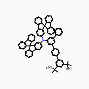 CCCC(C)(C)c1cc(-c2ccc(-c3cc(-c4ccccc4)cc(N(c4ccc5c(c4)C4(c6ccccc6-c6ccccc64)c4ccccc4-5)c4ccc5c(c4)C4(c6ccccc6-c6ccccc64)c4ccccc4-5)c3)cc2)cc(C(C)(C)CCC)c1